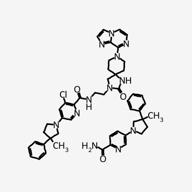 CC1(c2ccccc2)CCN(c2ccc(C(N)=O)nc2)C1.CC1(c2ccccc2)CCN(c2cnc(C(=O)NCCN3CC4(CCN(c5nccn6ccnc56)CC4)NC3=O)c(Cl)c2)C1